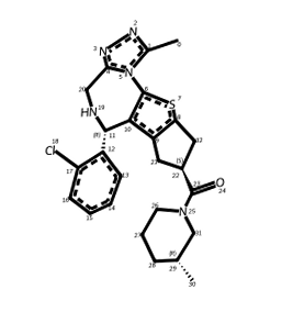 Cc1nnc2n1-c1sc3c(c1[C@H](c1ccccc1Cl)NC2)C[C@H](C(=O)N1CCC[C@@H](C)C1)C3